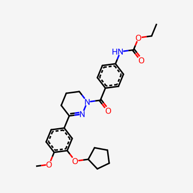 CCOC(=O)Nc1ccc(C(=O)N2CCCC(c3ccc(OC)c(OC4CCCC4)c3)=N2)cc1